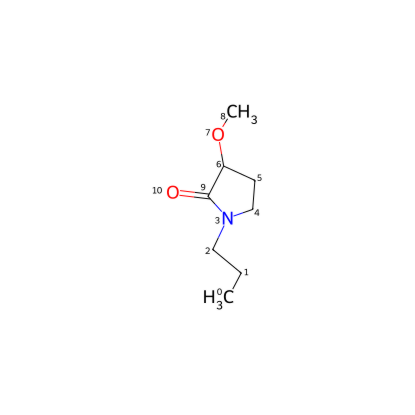 CCCN1CCC(OC)C1=O